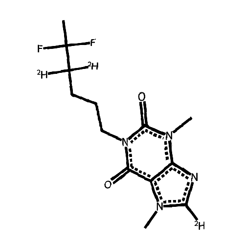 [2H]c1nc2c(c(=O)n(CCCC([2H])([2H])C(C)(F)F)c(=O)n2C)n1C